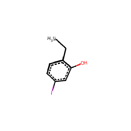 Oc1cc(I)ccc1C[SiH3]